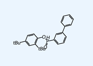 CC(C)(C)c1ccc(O[PH](=O)c2cccc(-c3ccccc3)c2)c(C(C)(C)C)c1